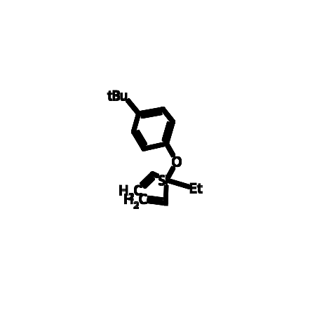 C=C[Si](C=C)(CC)Oc1ccc(C(C)(C)C)cc1